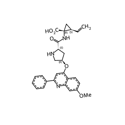 C=C[C@@H]1C[C@]1(NC(=O)[C@@H]1C[C@@H](Oc2cc(-c3ccccc3)nc3cc(OC)ccc23)CN1)C(=O)O